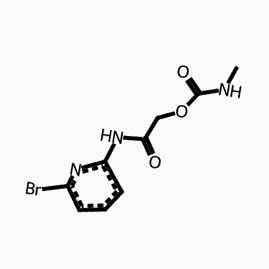 CNC(=O)OCC(=O)Nc1cccc(Br)n1